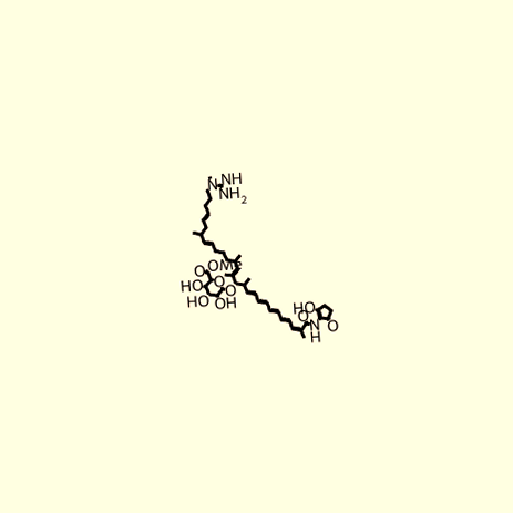 COC(=O)C1OC(OC(C(C)=CC(C)CCCC=CC(C)CC=CCCCN(C)C(=N)N)C(C)C=CC=CC=CC=CC=C(C)C(=O)NC2=C(O)CCC2=O)C(O)C(O)C1O